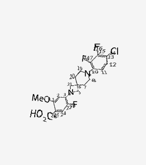 COc1cc(N2CC3(CCN(c4ccc(Cl)c(F)c4F)CC3)C2)c(F)cc1C(=O)O